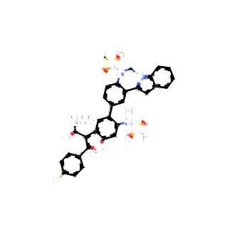 CCS(=O)(=O)Nc1cc2oc(-c3ccc(F)cc3)c(C(=O)NC)c2cc1-c1ccc2c(c1)-c1cc3ccccc3n1CN2S(C)(=O)=O